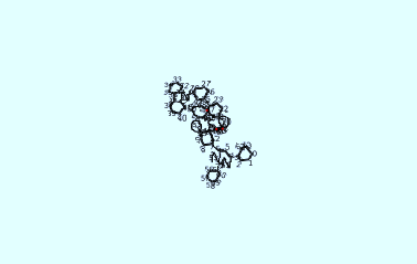 c1ccc(-c2cc(-c3ccc4c(c3)S3(c5ccccc5Oc5ccc(-c6cccc(-n7c8ccccc8c8ccccc87)c6)cc53)c3ccccc3O4)nc(-c3ccccc3)n2)cc1